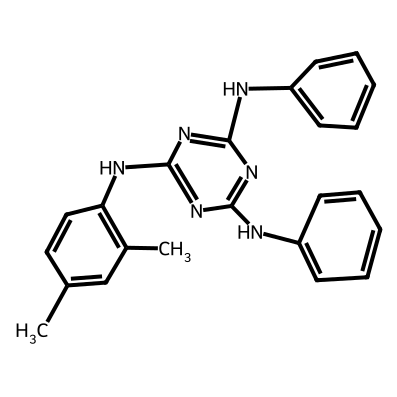 Cc1ccc(Nc2nc(Nc3ccccc3)nc(Nc3ccccc3)n2)c(C)c1